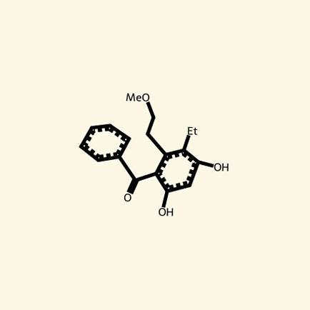 CCc1c(O)cc(O)c(C(=O)c2ccccc2)c1CCOC